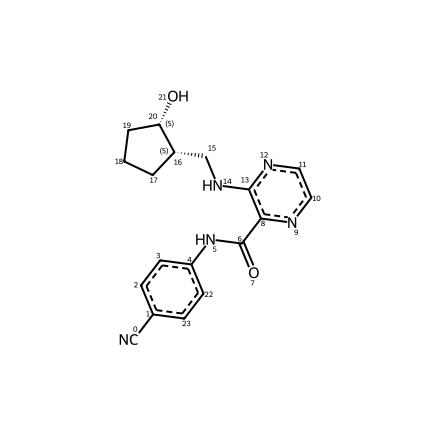 N#Cc1ccc(NC(=O)c2nccnc2NC[C@@H]2CCC[C@@H]2O)cc1